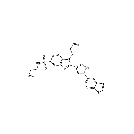 COCCNS(=O)(=O)c1ccc2c(c1)nc(-c1c[nH]c(-c3ccc4scnc4c3)n1)n2CCOC